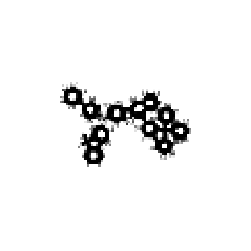 CC1(C)c2ccccc2-c2ccc(N(c3ccc(-c4ccccc4)cc3)c3ccc4c(c3)oc3c(-c5ccc6c(c5)C(c5ccccc5)(c5ccccc5)c5ccccc5-6)c5ccccc5cc34)cc21